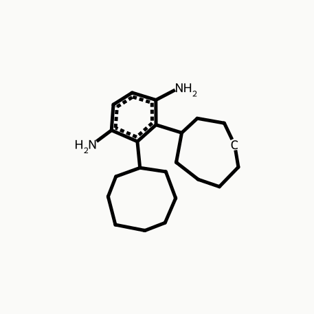 Nc1ccc(N)c(C2CCCCCCC2)c1C1CCCCCCC1